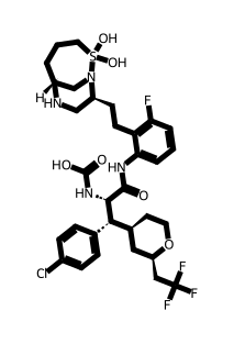 O=C(O)N[C@H](C(=O)Nc1cccc(F)c1CC[C@H]1CN[C@@H]2CCCS(O)(O)N1C2)[C@@H](c1ccc(Cl)cc1)[C@H]1CCO[C@@H](CC(F)(F)F)C1